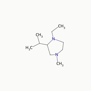 CCN1CCN(C)CC1C(C)C